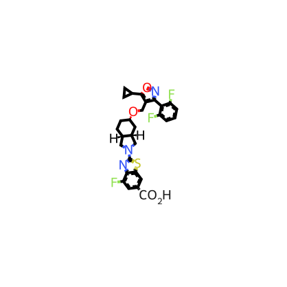 O=C(O)c1cc(F)c2nc(N3C[C@H]4C[C@H](OCc5c(-c6c(F)cccc6F)noc5C5CC5)CC[C@H]4C3)sc2c1